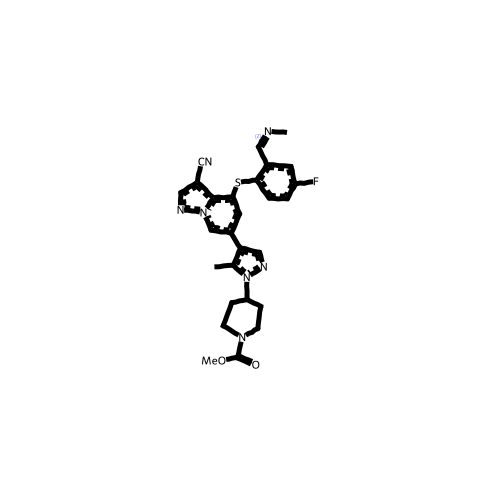 C/N=C\c1cc(F)ccc1Sc1cc(-c2cnn(C3CCN(C(=O)OC)CC3)c2C)cn2ncc(C#N)c12